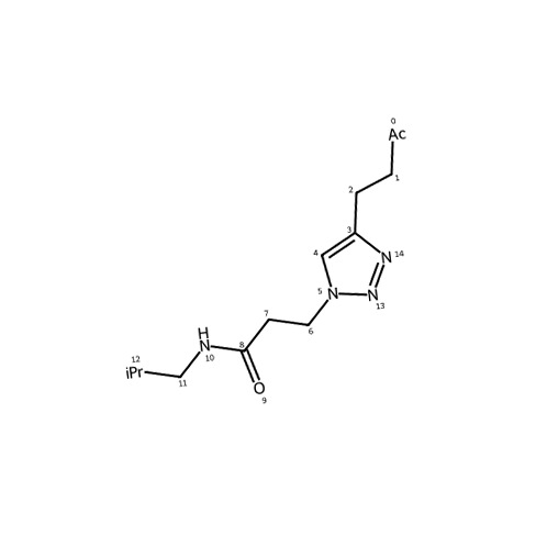 CC(=O)CCc1cn(CCC(=O)NCC(C)C)nn1